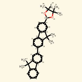 CC1(C)c2ccccc2-c2ccc(-c3ccc4c(c3)C(C)(C)c3cc(B5OC(C)(C)C(C)(C)O5)ccc3-4)cc21